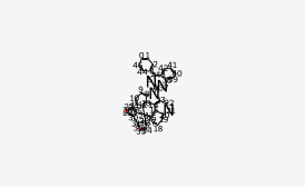 c1ccc(-c2nc(-n3c4cccc5c4c4c6c(cccc6ncc43)C53c4ccccc4-c4ccccc43)nc3ccccc23)cc1